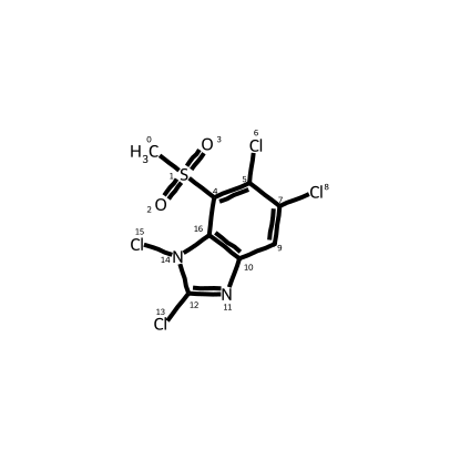 CS(=O)(=O)c1c(Cl)c(Cl)cc2nc(Cl)n(Cl)c12